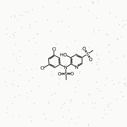 CS(=O)(=O)c1cnc(N(c2cc(Cl)cc(Cl)c2)S(C)(=O)=O)c(O)c1